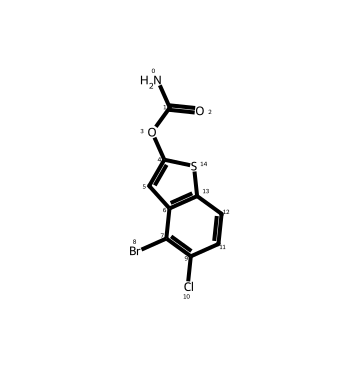 NC(=O)Oc1cc2c(Br)c(Cl)ccc2s1